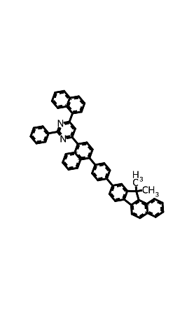 CC1(C)c2cc(-c3ccc(-c4ccc(-c5cc(-c6cccc7ccccc67)nc(-c6ccccc6)n5)c5ccccc45)cc3)ccc2-c2ccc3ccccc3c21